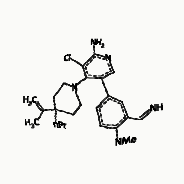 C=C(C)C1(CCC)CCN(c2c(-c3ccc(NC)c(C=N)c3)cnc(N)c2Cl)CC1